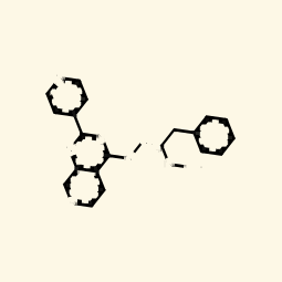 O=CN[C@H](CNc1nc(-c2ccncc2)nc2cnccc12)Cc1ccccc1